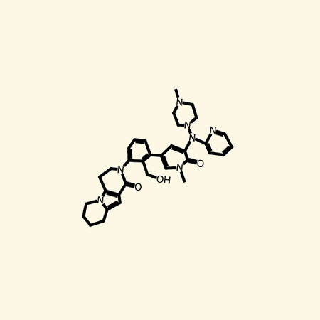 CN1CCN(N(c2ccccn2)c2cc(-c3cccc(N4CCc5c(cc6n5CCCC6)C4=O)c3CO)cn(C)c2=O)CC1